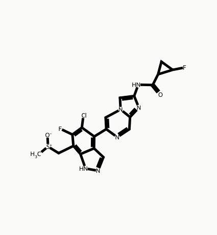 C[S+]([O-])Cc1c(F)c(Cl)c(-c2cn3cc(NC(=O)C4CC4F)nc3cn2)c2cn[nH]c12